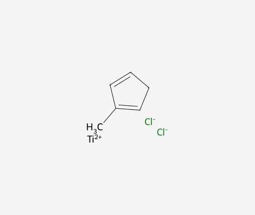 CC1=CCC=C1.[Cl-].[Cl-].[Ti+2]